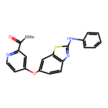 CNC(=O)c1cc(Oc2ccc3nc(Nc4ccccc4)sc3c2)ccn1